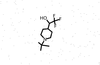 CC(C)(C)N1CCC(C(O)C(F)(F)F)CC1